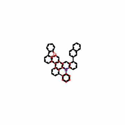 c1ccc(-c2ccccc2-c2c(-c3ccccc3)cccc2-c2ccccc2N(c2ccc(-c3cccc4c3oc3ccccc34)cc2)c2cccc(-c3ccc4ccccc4c3)c2)cc1